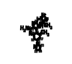 CCN(Cc1nc2c(N)nc3cc(-n4cccn4)cc(C)c3c2[nH]1)S(C)(=O)=O